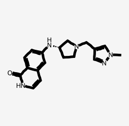 Cn1cc(CN2CC[C@H](Nc3ccc4c(=O)[nH]ccc4c3)C2)cn1